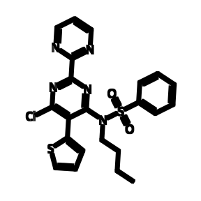 CCCCN(c1nc(-c2ncccn2)nc(Cl)c1-c1cccs1)S(=O)(=O)c1ccccc1